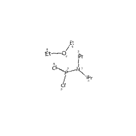 CC(C)N(C(C)C)P(Cl)Cl.CCOCC